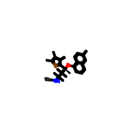 Cc1ccc2c(O[C@](C)(c3sc(C)c(C)c3C)C(C)(C)C(C)(C)NC(C)(C)C)cccc2c1